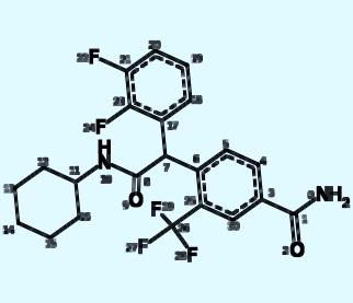 NC(=O)c1ccc(C(C(=O)NC2CCCCC2)c2cccc(F)c2F)c(C(F)(F)F)c1